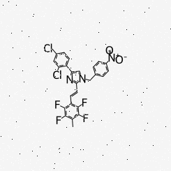 Cc1c(F)c(F)c(C=Cc2nc(-c3ccc(Cl)cc3Cl)cn2Cc2ccc([N+](=O)[O-])cc2)c(F)c1F